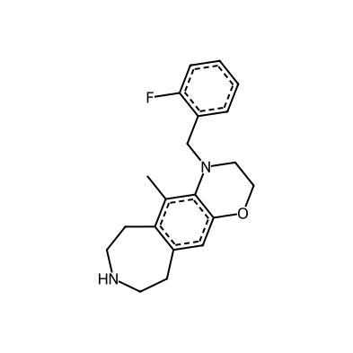 Cc1c2c(cc3c1N(Cc1ccccc1F)CCO3)CCNCC2